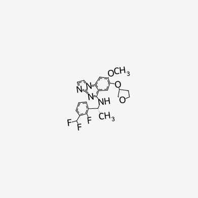 COc1cc2c(cc1OC1CCOC1)c(N[C@H](C)c1cccc(C(F)F)c1F)nc1nccn12